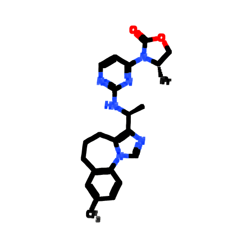 CC(C)[C@H]1COC(=O)N1c1ccnc(N[C@@H](C)c2ncn3c2CCCc2cc(C(F)(F)F)ccc2-3)n1